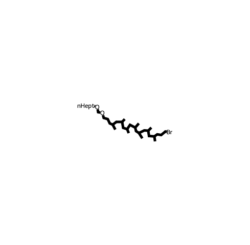 CCCCCCCOCOCCCC(C)CC(C)CC(C)CC(C)CC(C)CC(C)CC(C)CCCBr